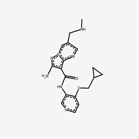 CNCc1cnc2c(C(=O)Nc3cnccc3OCC3CC3)c(N)nn2c1